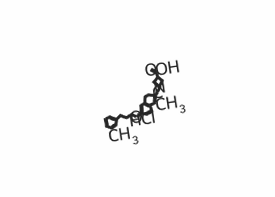 CC1=C(CN2CC(C(=O)O)C2)CCc2cc(OCCCc3cccc(C)c3)ccc21.Cl